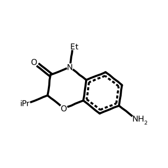 CCN1C(=O)C(C(C)C)Oc2cc(N)ccc21